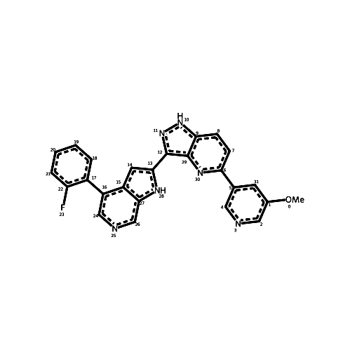 COc1cncc(-c2ccc3[nH]nc(-c4cc5c(-c6ccccc6F)cncc5[nH]4)c3n2)c1